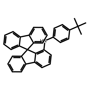 CC(C)(C)c1ccc(Nc2cccc3c2C2(c4ccccc4-c4ccccc42)c2ccccc2-3)cc1